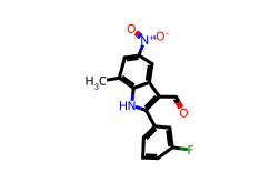 Cc1cc([N+](=O)[O-])cc2c(C=O)c(-c3cccc(F)c3)[nH]c12